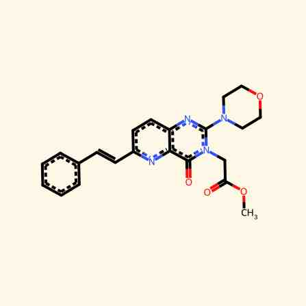 COC(=O)Cn1c(N2CCOCC2)nc2ccc(/C=C/c3ccccc3)nc2c1=O